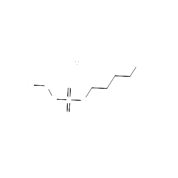 CCCCCCCCCCCCOS(=O)(=O)OOCC.[MgH2]